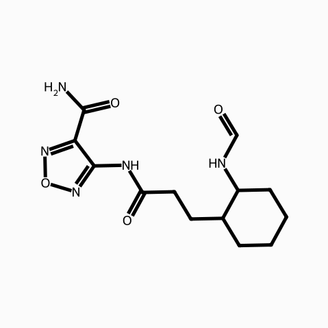 NC(=O)c1nonc1NC(=O)CCC1CCCCC1NC=O